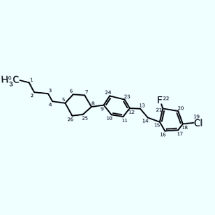 CCCCCC1CCC(c2ccc(CCc3ccc(Cl)cc3F)cc2)CC1